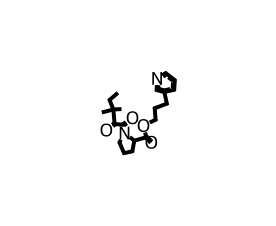 CCC(C)(C)C(=O)C(=O)N1CCCC1C(=O)OCCCc1cccnc1